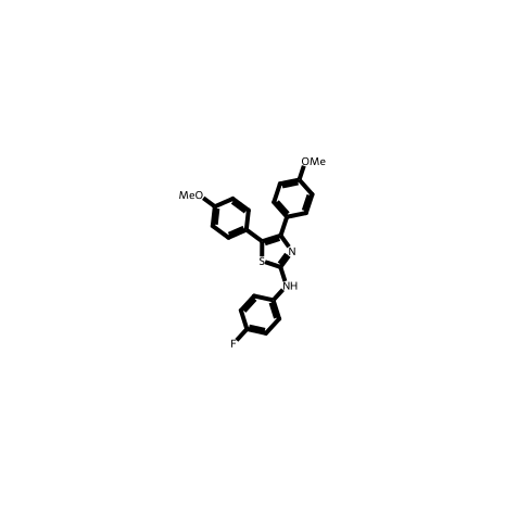 COc1ccc(-c2nc(Nc3ccc(F)cc3)sc2-c2ccc(OC)cc2)cc1